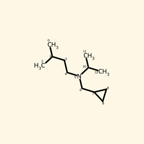 CC(C)CCN(CC1CC1)C(C)C